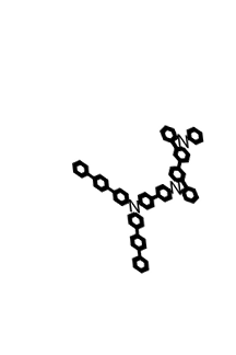 c1ccc(-c2ccc(-c3ccc(N(c4ccc(-c5ccc(-c6ccccc6)cc5)cc4)c4ccc(-c5ccc(-n6c7ccccc7c7cc(-c8ccc9c(c8)c8ccccc8n9-c8ccccc8)ccc76)cc5)cc4)cc3)cc2)cc1